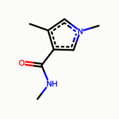 CNC(=O)c1cn(C)cc1C